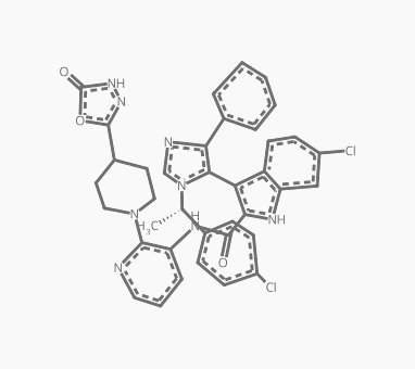 C[C@@H](c1ccc(Cl)cc1)n1cnc(-c2ccccc2)c1-c1c(C(=O)Nc2cccnc2N2CCC(c3n[nH]c(=O)o3)CC2)[nH]c2cc(Cl)ccc12